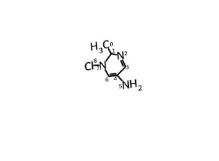 CC1N=CC(N)=CN1Cl